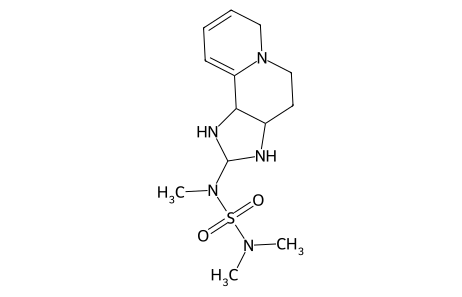 CN(C)S(=O)(=O)N(C)C1NC2CCN3CC=CC=C3C2N1